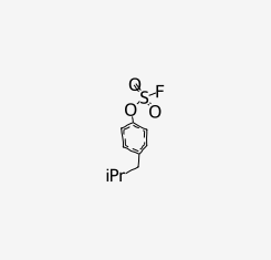 CC(C)Cc1ccc(OS(=O)(=O)F)cc1